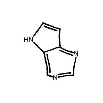 [c]1c[nH]c2cncnc12